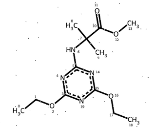 CCOc1nc(NC(C)(C)C(=O)OC)nc(OCC)n1